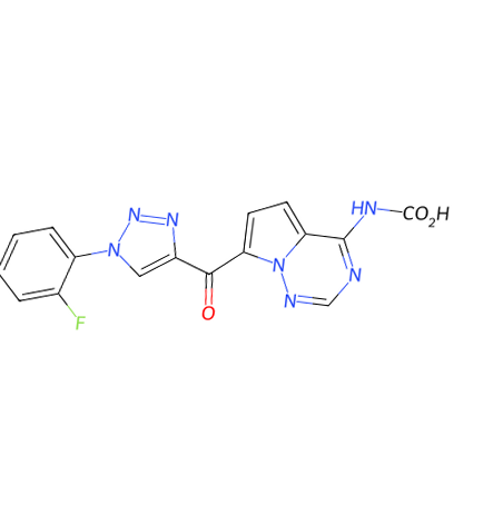 O=C(O)Nc1ncnn2c(C(=O)c3cn(-c4ccccc4F)nn3)ccc12